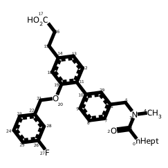 CCCCCCCC(=O)N(C)Cc1cccc(-c2ccc(CCC(=O)O)cc2OCc2cccc(F)c2)c1